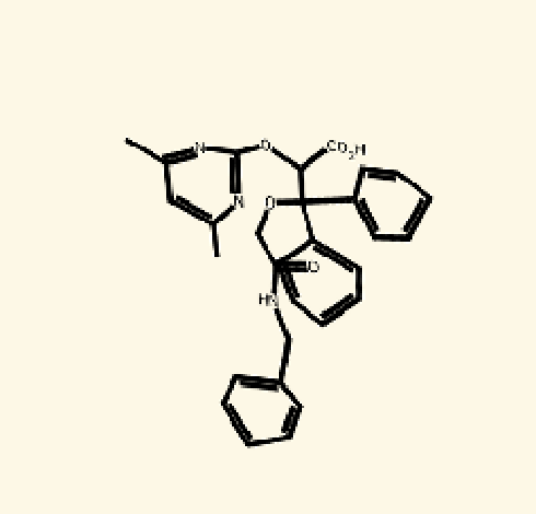 Cc1cc(C)nc(OC(C(=O)O)C(OCC(=O)NCc2ccccc2)(c2ccccc2)c2ccccc2)n1